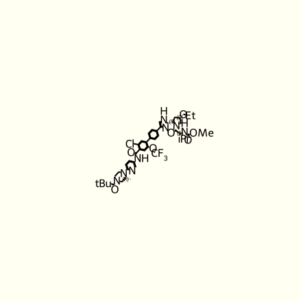 CCO[C@H]1C[C@@H](c2nc(-c3ccc(-c4cc(Cl)c(C(=O)Nc5ccc(N6CCN(C(=O)C(C)(C)C)C[C@H]6C)nc5)cc4OC(F)(F)F)cc3)c[nH]2)N(C(=O)[C@@H](NC(=O)OC)C(C)C)C1